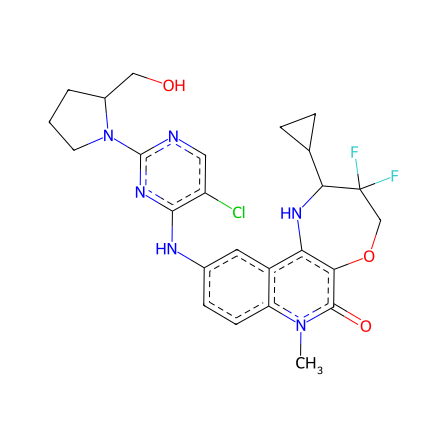 Cn1c(=O)c2c(c3cc(Nc4nc(N5CCCC5CO)ncc4Cl)ccc31)NC(C1CC1)C(F)(F)CO2